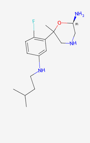 CC(C)CCNc1ccc(F)c(C2(C)CNC[C@H](N)O2)c1